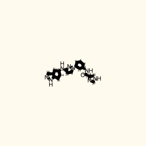 O=C(Nc1cccc(-n2ccc(Nc3ccc4[nH]ncc4c3)n2)c1)c1c[nH]cn1